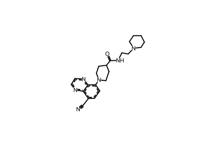 N#Cc1ccc(N2CCC(C(=O)NCCN3CCCCC3)CC2)c2nccnc12